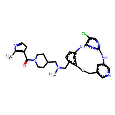 CC1=C(C(=O)N2CCC(CN(C)Cc3ccc4cc3CCc3cncc(c3)Nc3ncc(Cl)c(n3)N4)CC2)CC=N1